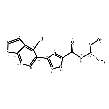 C[C@@H](CO)NC(=O)c1nc(-c2cnc3[nH]ccc3c2Cl)no1